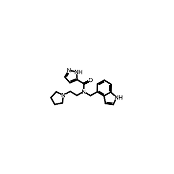 O=C(c1ccn[nH]1)N(CCN1CCCC1)Cc1cccc2[nH]ccc12